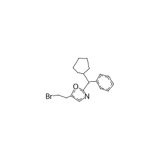 BrCCc1cnc([C](c2ccccc2)C2CCCCC2)o1